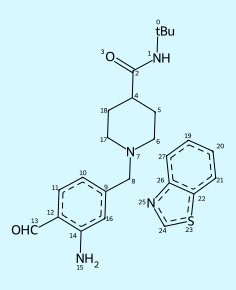 CC(C)(C)NC(=O)C1CCN(Cc2ccc(C=O)c(N)c2)CC1.c1ccc2scnc2c1